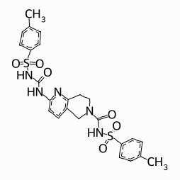 Cc1ccc(S(=O)(=O)NC(=O)Nc2ccc3c(n2)CCN(C(=O)NS(=O)(=O)c2ccc(C)cc2)C3)cc1